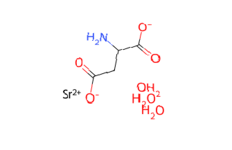 NC(CC(=O)[O-])C(=O)[O-].O.O.O.[Sr+2]